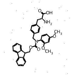 COc1ccc(N(Cc2ccc(C[C@H](N)C(=O)O)cc2)C(=O)OCC2c3ccccc3-c3ccccc32)c(OC)c1